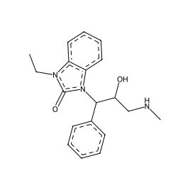 CCn1c(=O)n(C(c2ccccc2)C(O)CNC)c2ccccc21